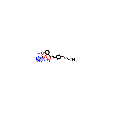 CCCCCc1ccc(C=CC(=O)c2cccc3c2OC(N)(c2nnn[nH]2)CO3)cc1